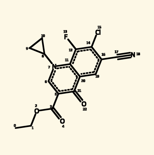 CCOC(=O)c1cn(C2CC2)c2c(F)c(Cl)c(C#N)cc2c1=O